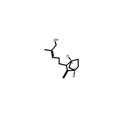 C=C1C(CCC=C(C)CO)[C@@H]2CC[C@H]1C2